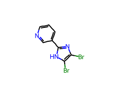 Brc1nc(-c2cccnc2)[nH]c1Br